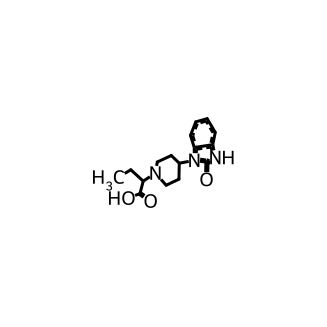 CCC(C(=O)O)N1CCC(n2c(=O)[nH]c3ccccc32)CC1